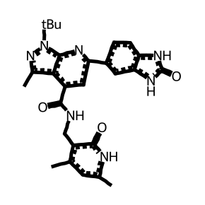 Cc1cc(C)c(CNC(=O)c2cc(-c3ccc4[nH]c(=O)[nH]c4c3)nc3c2c(C)nn3C(C)(C)C)c(=O)[nH]1